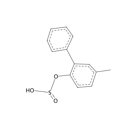 Cc1ccc(OS(=O)O)c(-c2ccccc2)c1